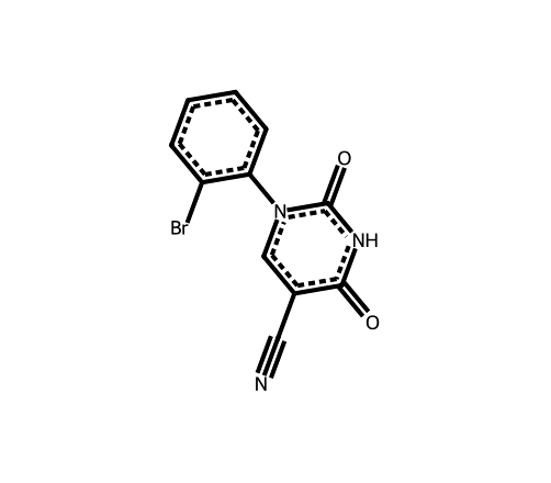 N#Cc1cn(-c2ccccc2Br)c(=O)[nH]c1=O